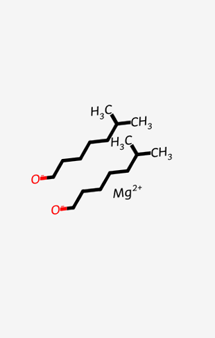 CC(C)CCCCC[O-].CC(C)CCCCC[O-].[Mg+2]